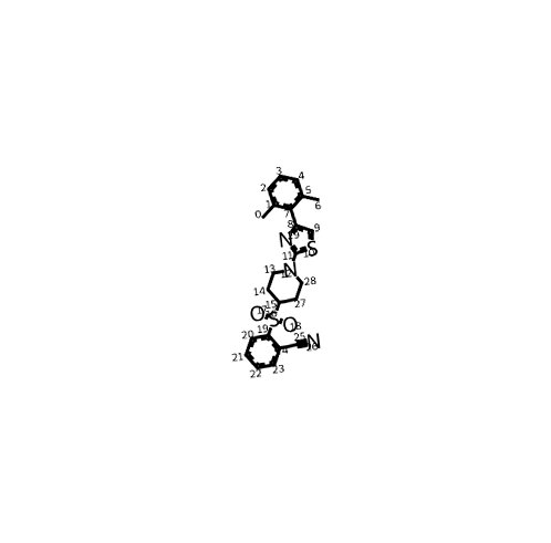 Cc1cccc(C)c1-c1csc(N2CCC(S(=O)(=O)c3ccccc3C#N)CC2)n1